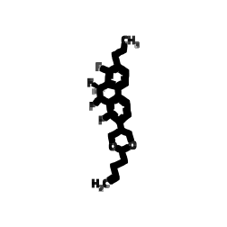 C=CCCC1OCC(c2ccc3c(c2F)C(F)[C@@H](F)c2c-3ccc(CCC)c2F)CO1